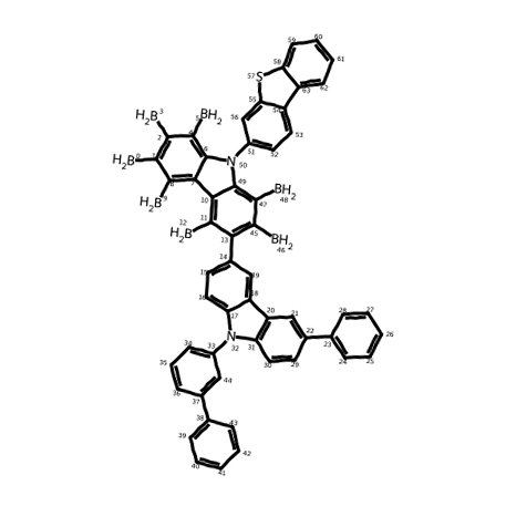 Bc1c(B)c(B)c2c(c1B)c1c(B)c(-c3ccc4c(c3)c3cc(-c5ccccc5)ccc3n4-c3cccc(-c4ccccc4)c3)c(B)c(B)c1n2-c1ccc2c(c1)sc1ccccc12